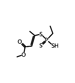 CCP(=S)(S)SC(C)=CC(=O)OC